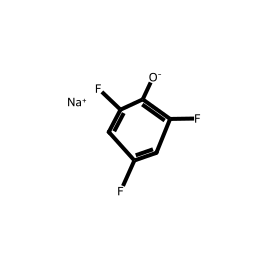 [Na+].[O-]c1c(F)cc(F)cc1F